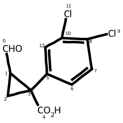 O=CC1CC1(C(=O)O)c1ccc(Cl)c(Cl)c1